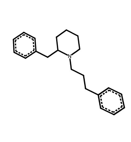 c1ccc(CCCN2CCCCC2Cc2ccccc2)cc1